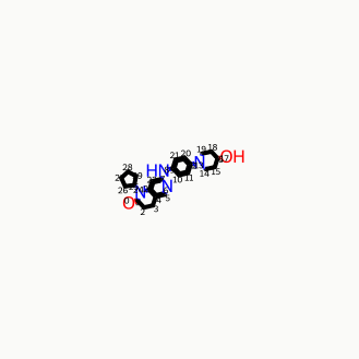 O=C1CCc2cnc(Nc3ccc(N4CCC(O)CC4)cc3)cc2N1C1CCCC1